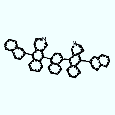 c1ccc2cc(-c3c4ccccc4c(-c4ccc(-c5c6ccccc6c(-c6ccc7ccccc7c6)c6ccncc56)c5ccccc45)c4cnccc34)ccc2c1